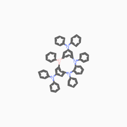 c1ccc(B2c3cc(N(c4ccccc4)c4ccccc4)cc(c3)N(c3ccccc3)c3ccccc3N(c3ccccc3)c3cc2cc(N(c2ccccc2)c2ccccc2)c3)cc1